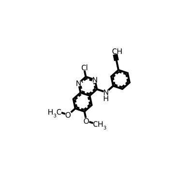 C#Cc1cccc(Nc2nc(Cl)nc3cc(OC)c(OC)cc23)c1